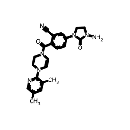 Cc1cnc(N2C=CN(C(=O)c3ccc(N4CCN(N)C4=O)cc3C#N)CC2)c(C)c1